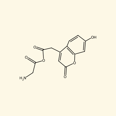 NCC(=O)OC(=O)Cc1cc(=O)oc2cc(O)ccc12